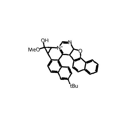 COC1(O)C2c3ccc4cc(C(C)(C)C)ccc4c3C3=[N+](C=NC4Oc5c(ccc6ccccc56)C34)C21